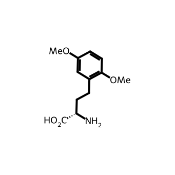 COc1ccc(OC)c(CC[C@H](N)C(=O)O)c1